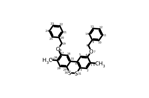 Cc1cc2c(cc1OCc1ccccc1)-c1cc(OCc3ccccc3)c(C)cc1SS2